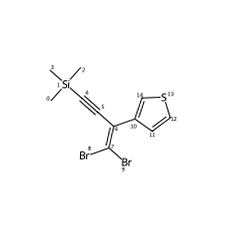 C[Si](C)(C)C#CC(=C(Br)Br)c1ccsc1